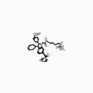 COc1ccc(C2C(C3CCCCC3)c3ccc(C(=O)n4ccnc4)cc3N2CC(=O)NCCCCN(C)S(N)(=O)=O)cc1